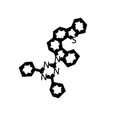 c1ccc(-c2nc(-c3ccccc3)nc(-n3c4ccccc4c4c5c(ccc6c7ccccc7sc65)ccc43)n2)cc1